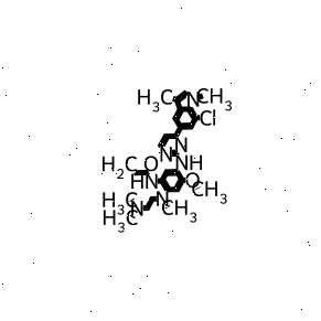 C=CC(=O)Nc1cc(Nc2nccc(-c3cc(Cl)c4c(c3)c(C)cn4C)n2)c(OC)cc1N(C)CCN(C)C